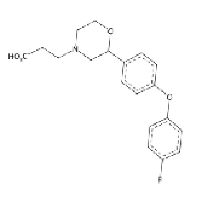 O=C(O)CCN1CCOC(c2ccc(Oc3ccc(F)cc3)cc2)C1